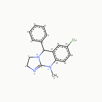 CN1C2=NCCN2C(c2ccccc2)c2cc(Cl)ccc21